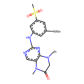 CNc1cc(Nc2ncc3c(n2)N(C(C)C)CC(=O)N3C)cc(S(C)(=O)=O)c1